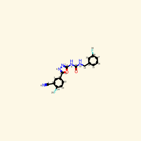 N#Cc1cc(-c2nnc(NC(=O)NCc3cccc(F)c3)o2)ccc1F